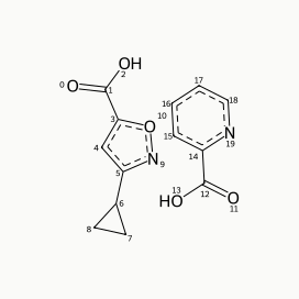 O=C(O)c1cc(C2CC2)no1.O=C(O)c1ccccn1